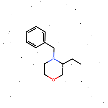 CCC1COCCN1Cc1ccccc1